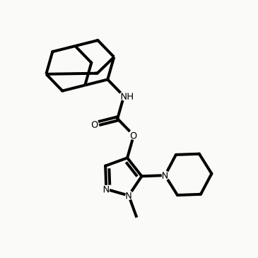 Cn1ncc(OC(=O)NC2C3CC4CC(C3)CC2C4)c1N1CCCCC1